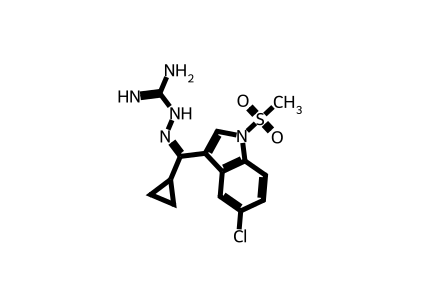 CS(=O)(=O)n1cc(/C(=N\NC(=N)N)C2CC2)c2cc(Cl)ccc21